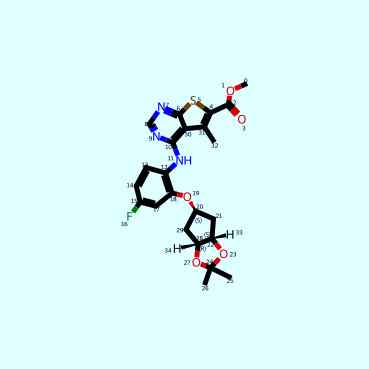 COC(=O)c1sc2ncnc(Nc3ccc(F)cc3O[C@H]3C[C@@H]4OC(C)(C)O[C@@H]4C3)c2c1C